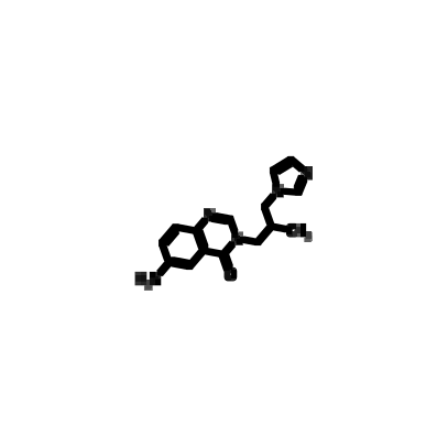 CC(Cn1ccnc1)Cn1cnc2ccc(N)cc2c1=O